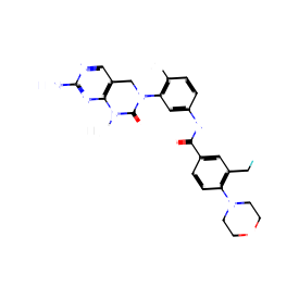 Cc1ccc(NC(=O)c2ccc(N3CCOCC3)c(CF)c2)cc1N1Cc2cnc(N)nc2N(C)C1=O